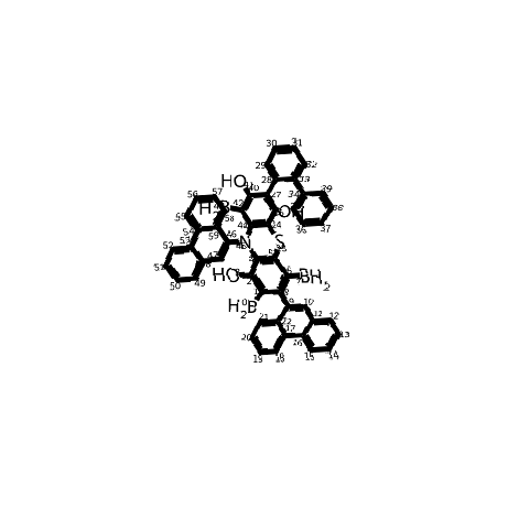 Bc1c(O)c2c(c(B)c1-c1cc3ccccc3c3ccccc13)Sc1c(O)c(-c3ccccc3-c3ccccc3)c(O)c(B)c1N2c1cc2ccccc2c2ccccc12